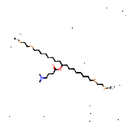 CCCCSCCSCCCCCCCCC(CCCCCCCCSCCSCCCC)OC(=O)CCCN(C)C